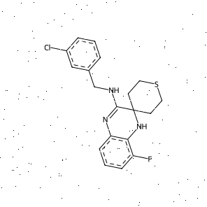 Fc1cccc2c1NC1(CCSCC1)C(NCc1cccc(Cl)c1)=N2